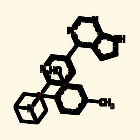 Cc1ccc(CN2C3CC2CN(c2ccc(-c4ncnc5[nH]ccc45)cn2)C3)c(O)c1